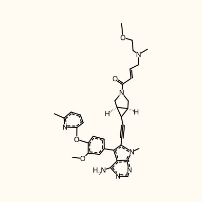 COCCN(C)C/C=C/C(=O)N1C[C@@H]2C(C#Cc3c(-c4ccc(Oc5cccc(C)n5)c(OC)c4)c4c(N)ncnc4n3C)[C@@H]2C1